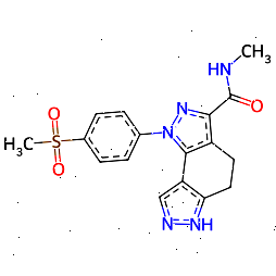 CNC(=O)c1nn(-c2ccc(S(C)(=O)=O)cc2)c2c1CCc1[nH]ncc1-2